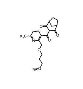 COCCCOCc1nc(C(F)(F)F)ccc1C(=O)C1C(=O)C2CCC(C2)C1=O